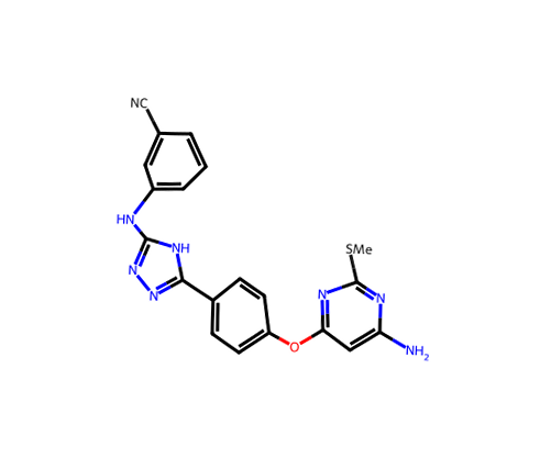 CSc1nc(N)cc(Oc2ccc(-c3nnc(Nc4cccc(C#N)c4)[nH]3)cc2)n1